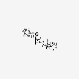 CC(C)(C)NC(CCCCNC(=O)OCc1ccccc1)C(=O)O